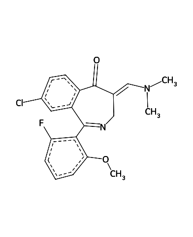 COc1cccc(F)c1C1=NCC(=CN(C)C)C(=O)c2ccc(Cl)cc21